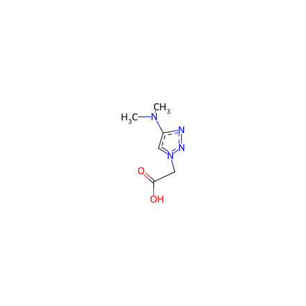 CN(C)c1cn(CC(=O)O)nn1